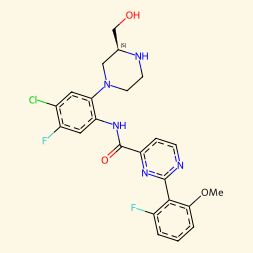 COc1cccc(F)c1-c1nccc(C(=O)Nc2cc(F)c(Cl)cc2N2CCN[C@H](CO)C2)n1